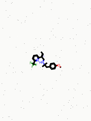 C/C=C(/CNC(C)(C)Cc1ccc(OC)cc1)c1cccc(C(F)(F)F)n1